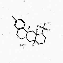 CCCCCCS(=O)(=O)N1CCC[C@@H]2CN3CCc4cc(C)ccc4[C@H]3C[C@@H]21.Cl